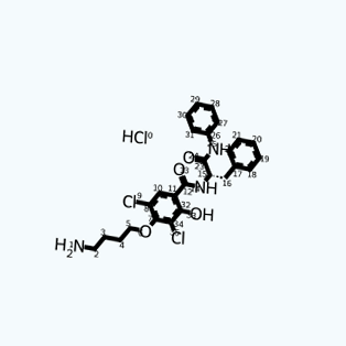 Cl.NCCCCOc1c(Cl)cc(C(=O)N[C@@H](Cc2ccccc2)C(=O)Nc2ccccc2)c(O)c1Cl